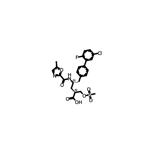 Cc1cnc(C(=O)N[C@H](Cc2ccc(-c3cc(Cl)ccc3F)cc2)C[C@@H](COS(C)(=O)=O)C(=O)O)o1